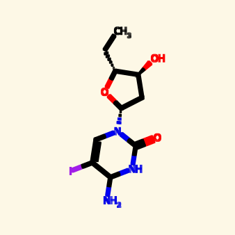 CC[C@H]1O[C@@H](N2C=C(I)C(N)NC2=O)C[C@@H]1O